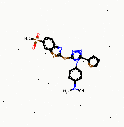 CN(C)c1ccc(-n2c(Sc3nc4ccc(S(C)(=O)=O)cc4s3)nnc2-c2cccs2)cc1